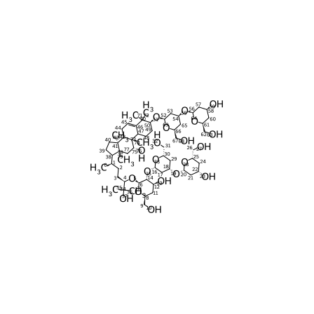 C[C@H](CC[C@@H](O[C@@H]1O[C@H](CO)C[C@H](O)[C@H]1O[C@H]1C[C@@H](O[C@H]2C[C@@H](O)C[C@@H](CO)O2)C[C@@H](CO)O1)C(C)(C)O)C1CC[C@@]2(C)C3CC=C4C(CC[C@H](O[C@H]5C[C@@H](O[C@H]6C[C@@H](O)C[C@@H](CO)O6)C[C@@H](CO)O5)C4(C)C)[C@]3(C)[C@H](O)C[C@]12C